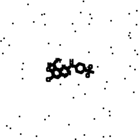 CC(C)c1noc2c(Cl)cc3cnc(NC4CCN(S(C)(=O)=O)CC4)nc3c12